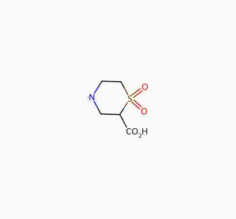 O=C(O)C1C[N]CCS1(=O)=O